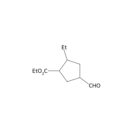 CCOC(=O)C1CC(C=O)CC1CC